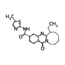 CCC1CCCCCn2c1nc1cc(C(=O)Nc3ncc(C)s3)ccc1c2=O